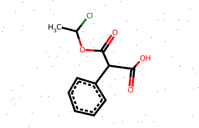 CC(Cl)OC(=O)C(C(=O)O)c1ccccc1